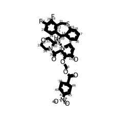 O=C(OCOc1c2n(ccc1=O)N([C@@H]1c3ccccc3SCc3c1ccc(F)c3F)[C@@H]1COCCN1C2=O)c1ccc([N+](=O)[O-])cc1